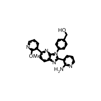 COc1ncccc1-c1ccc2nc(-c3cccnc3N)n(-c3ccc(CO)cc3)c2n1